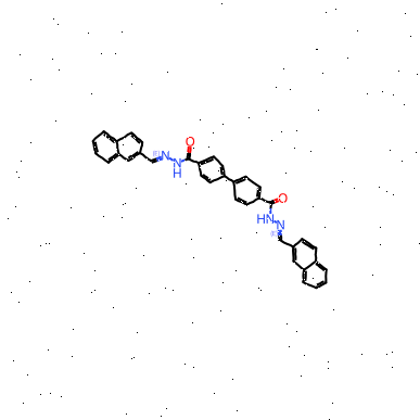 O=C(N/N=C/c1ccc2ccccc2c1)c1ccc(-c2ccc(C(=O)N/N=C/c3ccc4ccccc4c3)cc2)cc1